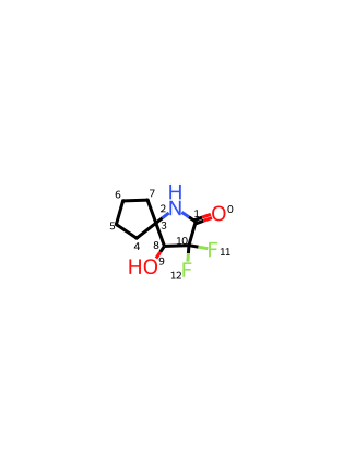 O=C1NC2(CCCC2)C(O)C1(F)F